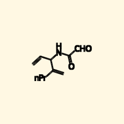 C=CC(NC(=O)C=O)C(=C)CCC